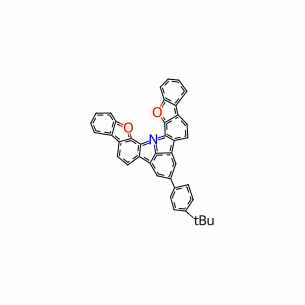 CC(C)(C)c1ccc(-c2cc3c4ccc5c6ccccc6oc5c4n4c3c(c2)c2ccc3c5ccccc5oc3c24)cc1